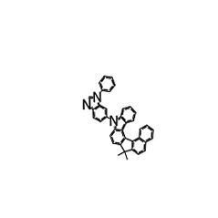 CC1(C)c2ccc3ccccc3c2-c2c1ccc1c2c2ccccc2n1-c1ccc2ncn(-c3ccccc3)c2c1